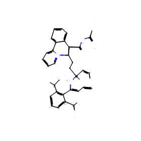 C=C/C=C(\NC(C)(/C=C\C)CCC1C(C(=C)NC(=C)C)c2ccccc2-c2cccc[n+]21)c1c(C(C)C)cccc1C(C)C